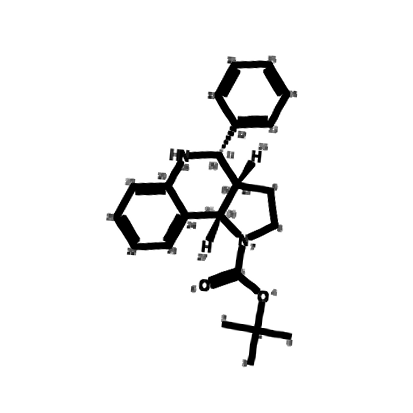 CC(C)(C)OC(=O)N1CC[C@H]2[C@@H](c3ccccc3)Nc3ccccc3[C@H]21